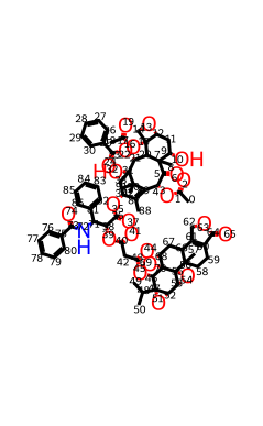 CC(=O)OC1C(=O)C2(C)C(O)CC3OCC3(OC(C)=O)C2C(OC(=O)c2ccccc2)C2(O)CC(OC(=O)C(OC(=O)CC(=O)OC3C4(C(C)C)OC4C4OC45C4(C)CCC6=C(COC6=O)C4CC4OC435)C(NC(=O)c3ccccc3)c3ccccc3)C(C)=C1C2(C)C